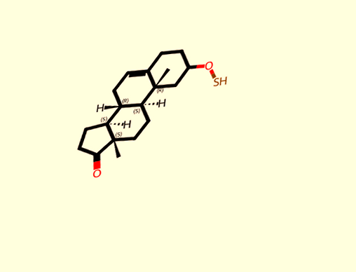 C[C@]12CC(OS)CCC1=CC[C@@H]1[C@@H]2CC[C@]2(C)C(=O)CC[C@@H]12